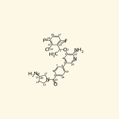 CC(Oc1cc(-c2ccc(C(=O)N3CC[C@@H](N)C3)cc2)cnc1N)c1c(F)ccc(F)c1Cl